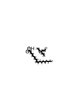 CCCCCCCC/C=C\CCCCCCCC(=O)O.CCCN(CCC)CCC